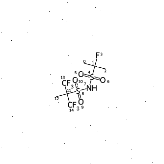 CC(C)(F)S(=O)(=O)NS(=O)(=O)C(C)(C(F)(F)F)C(F)(F)F